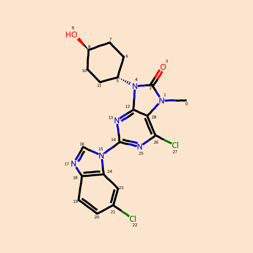 Cn1c(=O)n([C@H]2CC[C@H](O)CC2)c2nc(-n3cnc4ccc(Cl)cc43)nc(Cl)c21